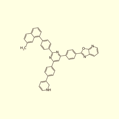 Cc1ccc2cccc(-c3ccc(-c4nc(-c5ccc(C6=CC=CNC6)cc5)cc(-c5ccc(-c6nc7cccnc7o6)cc5)n4)cc3)c2c1